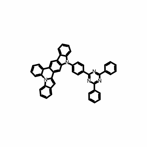 c1ccc(-c2nc(-c3ccccc3)nc(-c3ccc(-n4c5ccccc5c5cc6c7ccccc7n7c8ccccc8cc7c6cc54)cc3)n2)cc1